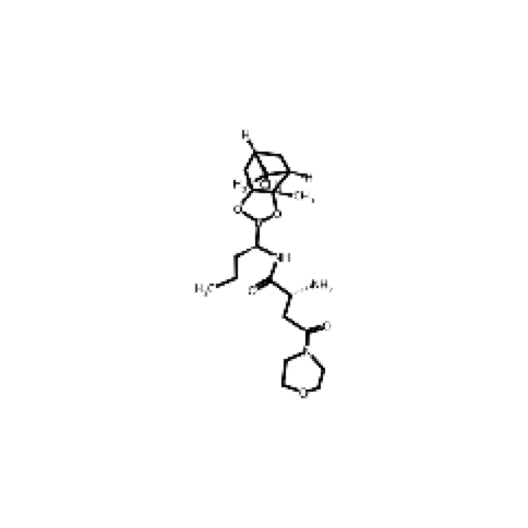 CCC[C@H](NC(=O)[C@H](N)CC(=O)N1CCOCC1)B1OC2C[C@@H]3C[C@@H](C3(C)C)[C@]2(C)O1